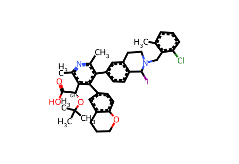 Cc1cccc(Cl)c1CN1CCc2cc(-c3c(C)nc(C)c([C@H](OC(C)(C)C)C(=O)O)c3-c3ccc4c(c3)CCCO4)ccc2C1I